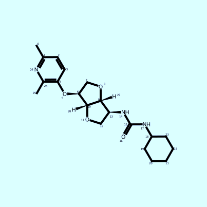 Cc1ccc(O[C@H]2CO[C@H]3[C@@H]2OC[C@@H]3NC(=O)NC2CCCCC2)c(C)n1